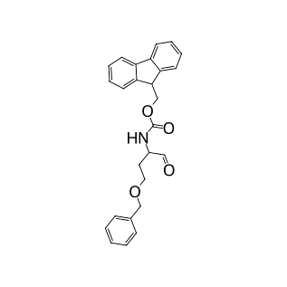 O=CC(CCOCc1ccccc1)NC(=O)OCC1c2ccccc2-c2ccccc21